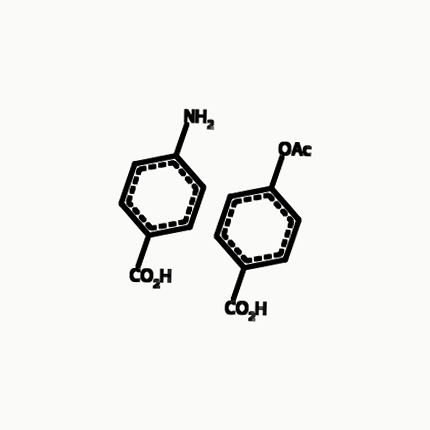 CC(=O)Oc1ccc(C(=O)O)cc1.Nc1ccc(C(=O)O)cc1